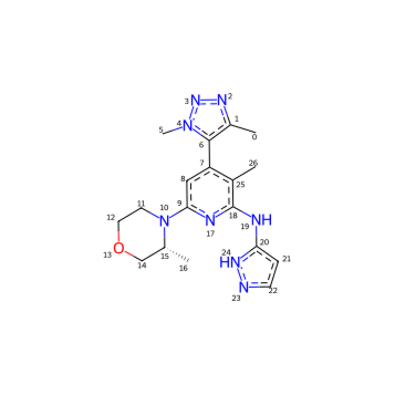 Cc1nnn(C)c1-c1cc(N2CCOC[C@H]2C)nc(Nc2ccn[nH]2)c1C